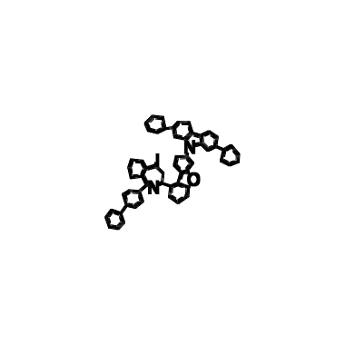 IC1=c2ccccc2=C(c2ccc(-c3ccccc3)cc2)N=C(c2cccc3oc4cc(-n5c6cc(-c7ccccc7)ccc6c6ccc(-c7ccccc7)cc65)ccc4c23)C1